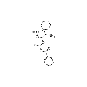 CC(C)C(OC(=O)c1ccccc1)OC(=O)C(N)C1(C(=O)O)CCCCC1